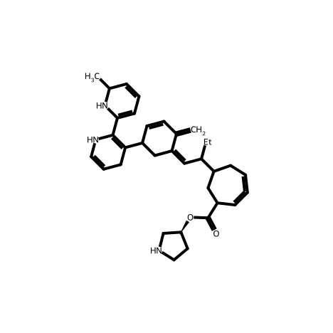 C=C1C=CC(C2=C(C3=CC=CC(C)N3)NC=CC2)C/C1=C/C(CC)C1CC=C=CC(C(=O)O[C@H]2CCNC2)C1